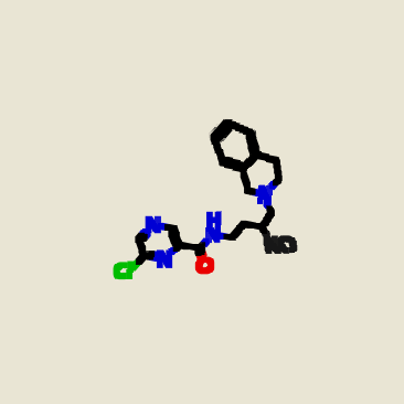 O=NC(CCNC(=O)c1cncc(Cl)n1)CN1CCc2ccccc2C1